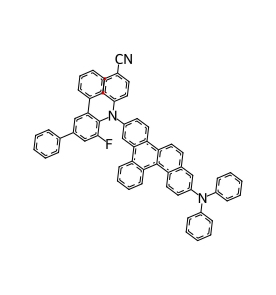 N#Cc1ccc(N(c2ccc3c(c2)c2ccccc2c2c4ccc(N(c5ccccc5)c5ccccc5)cc4ccc32)c2c(F)cc(-c3ccccc3)cc2-c2ccccc2)cc1